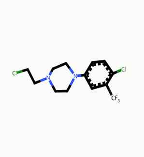 FC(F)(F)c1cc(N2CCN(CCCl)CC2)ccc1Cl